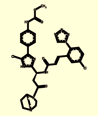 COC(=O)Nc1ccc(-c2nc([C@H](CC(=O)N3CCN4CCC3CC4)NC(=O)C=Cc3cc(Cl)ccc3-n3cnnn3)[nH]c2Cl)cc1